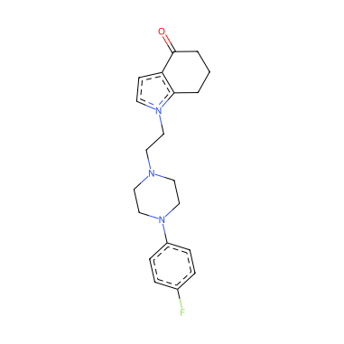 O=C1CCCc2c1ccn2CCN1CCN(c2ccc(F)cc2)CC1